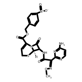 CO/N=C(\C(=O)NC1C(=O)N2C(C(=O)OCc3ccc([N+](=O)[O-])cc3)=CCS[C@H]12)c1nccc(N)n1